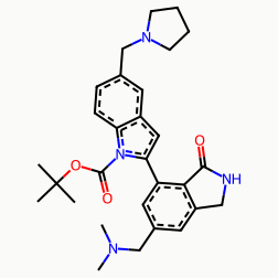 CN(C)Cc1cc2c(c(-c3cc4cc(CN5CCCC5)ccc4n3C(=O)OC(C)(C)C)c1)C(=O)NC2